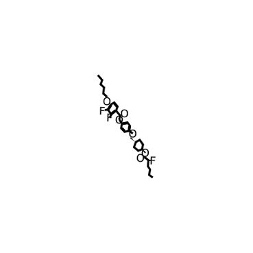 CCCCCCOc1ccc(C(=O)Oc2ccc(OC[C@H]3CC[C@H](OC(=O)[C@@H](F)CCCC)CC3)cc2)c(F)c1F